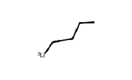 [3Li][CH2]CCC